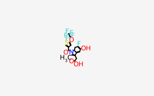 CC1=C(CC(=O)O)C2=CC(O)=C(F)CC2N1C(=O)c1csc(OC(F)(F)C(F)(F)F)c1